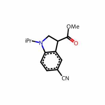 COC(=O)C1CN(C(C)C)c2ccc(C#N)cc21